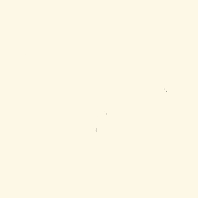 c1ccc(-c2cc(-c3ccc(-c4ccccn4)cc3)nc(-c3ccc(-c4cc5c6ccccc6c6ccccc6c5c5ccccc45)cc3)n2)cc1